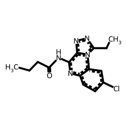 CCCC(=O)Nc1nc2ccc(Cl)cc2n2c(CC)nnc12